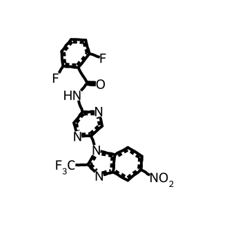 O=C(Nc1cnc(-n2c(C(F)(F)F)nc3cc([N+](=O)[O-])ccc32)cn1)c1c(F)cccc1F